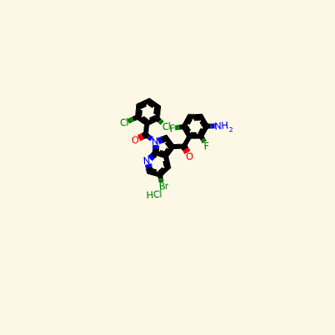 Cl.Nc1ccc(F)c(C(=O)c2cn(C(=O)c3c(Cl)cccc3Cl)c3ncc(Br)cc23)c1F